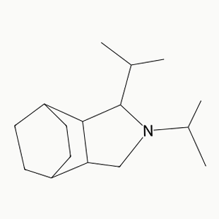 CC(C)C1C2C3CCC(CC3)C2CN1C(C)C